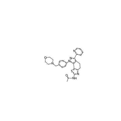 CC(=O)Nc1nc2c(s1)-c1c(c(-c3ccccn3)nn1-c1ccc(CN3CCOCC3)cc1)CC2